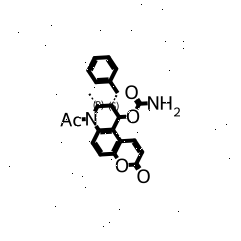 CC(=O)N1c2ccc3oc(=O)ccc3c2C(OC(N)=O)[C@@H](Cc2ccccc2)[C@H]1C